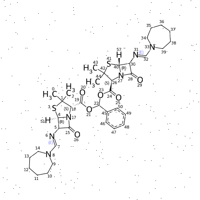 CC1(C)S[C@@H]2C(/N=C/N3CCCCCC3)C(=O)N2[C@H]1C(=O)OC(OC(=O)[C@@H]1N2C(=O)C(/N=C/N3CCCCCC3)[C@H]2SC1(C)C)c1ccccc1